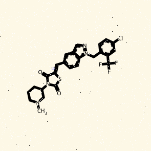 CN1CCCC(N2C(=O)S/C(=C\c3ccc4c(cnn4Cc4ccc(Cl)cc4C(F)(F)F)c3)C2=O)C1